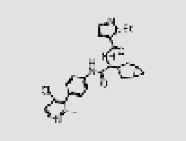 CCn1nccc1C(=O)NC(C(=O)Nc1ccc(-c2c(Cl)ccnc2C)cc1)C1CC2CC2C1